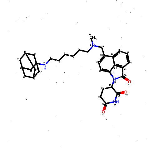 CN(CCCCCCNC12CC3CC(CC(C3)C1)C2)Cc1ccc2c3c(cccc13)C(=O)N2C1CCC(=O)NC1=O